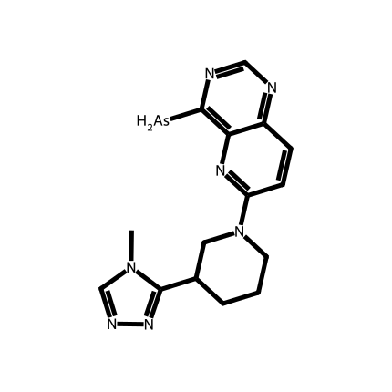 Cn1cnnc1C1CCCN(c2ccc3ncnc([AsH2])c3n2)C1